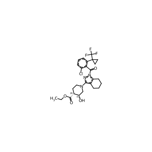 CCOC(=O)[C@@H]1CCN(c2nn(C(=O)c3c(Cl)cccc3C3(C(F)(F)F)CC3)c3c2CCCC3)C[C@H]1O